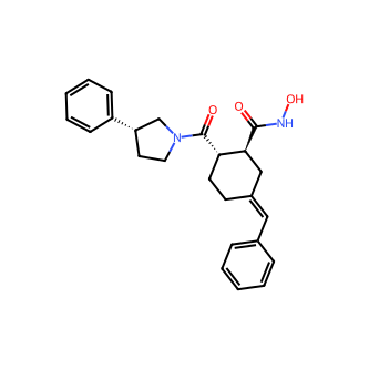 O=C(NO)[C@H]1C/C(=C/c2ccccc2)CC[C@@H]1C(=O)N1CC[C@H](c2ccccc2)C1